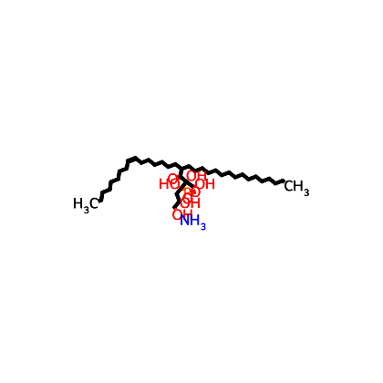 CCCCCCCC/C=C\CCCCCCC(CCCCCCCCCCCCCCCC)C(=O)C(O)(CO)C(O)(CC(O)CO)P(=O)=O.N